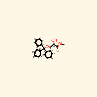 COC(=O)[C@@H](O)COC(c1ccccc1)(c1ccccc1)c1ccccc1